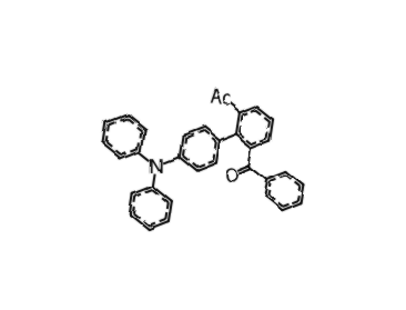 CC(=O)c1cccc(C(=O)c2ccccc2)c1-c1ccc(N(c2ccccc2)c2ccccc2)cc1